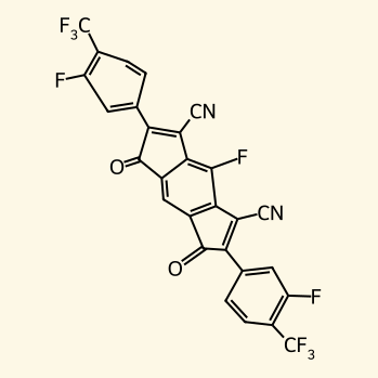 N#Cc1c(-c2ccc(C(F)(F)F)c(F)c2)c(=O)c2cc3c(=O)c(-c4ccc(C(F)(F)F)c(F)c4)c(C#N)c3c(F)c12